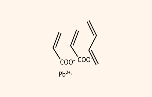 C=CC(=O)[O-].C=CC(=O)[O-].C=CC=C.[Pb+2]